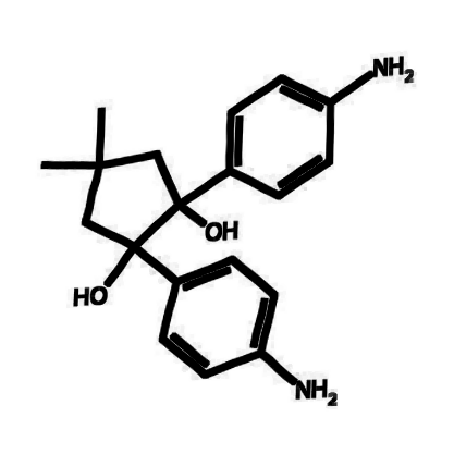 CC1(C)CC(O)(c2ccc(N)cc2)C(O)(c2ccc(N)cc2)C1